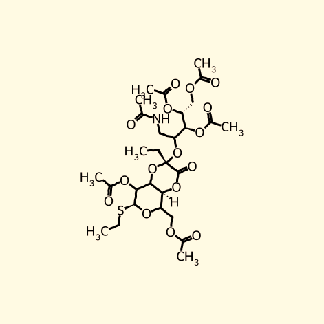 CCS[C@@H]1OC(COC(C)=O)[C@@H]2OC(=O)[C@@](CC)(OC(CNC(C)=O)[C@H](OC(C)=O)[C@@H](COC(C)=O)OC(C)=O)OC2C1OC(C)=O